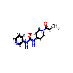 CCC(=O)N1CCC(NC(=O)Nc2cccnc2)CC1